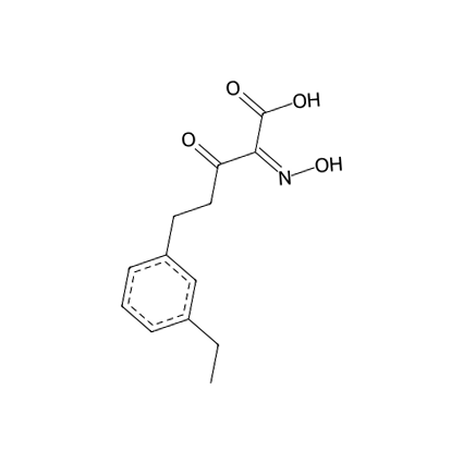 CCc1cccc(CCC(=O)C(=NO)C(=O)O)c1